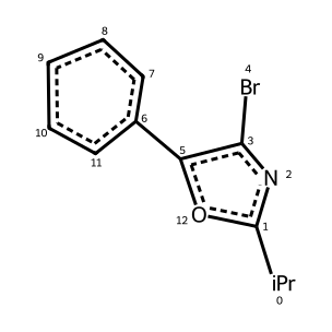 CC(C)c1nc(Br)c(-c2ccccc2)o1